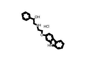 Cl.O[C@H](CNCCOc1ccc2c(c1)[nH]c1ccccc12)c1ccccc1